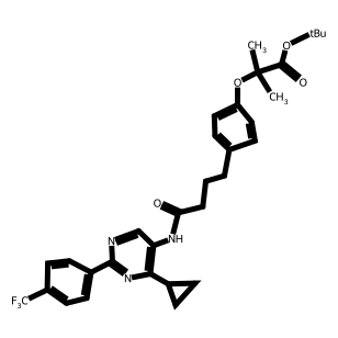 CC(C)(C)OC(=O)C(C)(C)Oc1ccc(CCCC(=O)Nc2cnc(-c3ccc(C(F)(F)F)cc3)nc2C2CC2)cc1